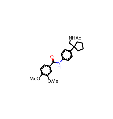 COc1ccc(C(=O)Nc2ccc(C3(CNC(C)=O)CCCC3)cc2)cc1OC